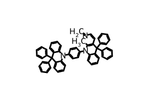 C=N/C=C\C1=C(C)N(c2ccc(N3c4ccccc4C(c4ccccc4)(c4ccccc4)c4ccccc43)cc2)c2ccccc2C1(c1ccccc1)c1ccccc1